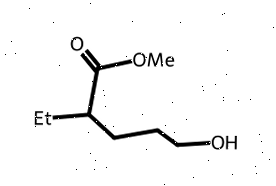 CCC(CCCO)C(=O)OC